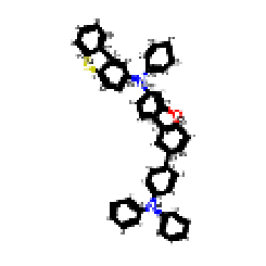 c1ccc(N(c2ccccc2)c2ccc(-c3ccc4oc5cc(N(c6ccccc6)c6ccc7sc8ccccc8c7c6)ccc5c4c3)cc2)cc1